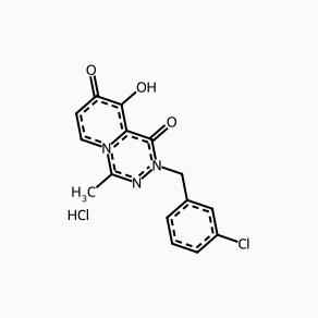 Cc1nn(Cc2cccc(Cl)c2)c(=O)c2c(O)c(=O)ccn12.Cl